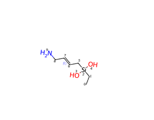 CC[Si](O)(O)C/C=C/CN